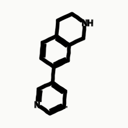 [c]1cncc(-c2ccc3c(c2)CNCC3)c1